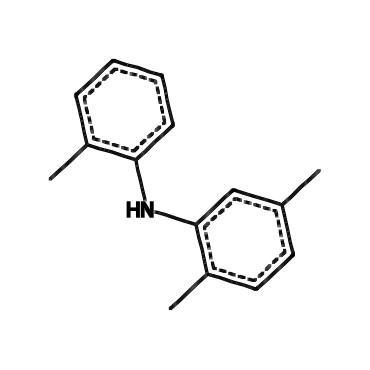 Cc1ccc(C)c(Nc2ccccc2C)c1